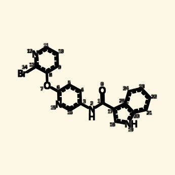 O=C(Nc1ccc(Oc2cccnc2Br)nc1)c1c[nH]c2ccccc12